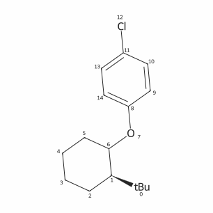 CC(C)(C)[C@H]1CCCCC1Oc1ccc(Cl)cc1